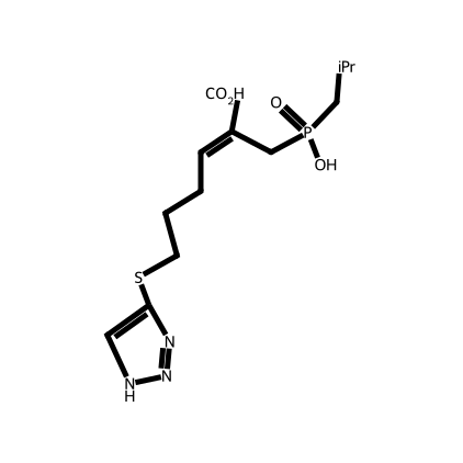 CC(C)CP(=O)(O)CC(=CCCCSc1c[nH]nn1)C(=O)O